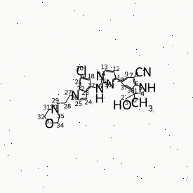 CC1(CO)CNc2c(C#N)cc(-c3ccnc(Nc4cc(Cl)cc5c4ccn5CCCN4CCOCC4)n3)cc21